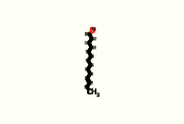 CCC=CCCCCCCCCCC=O